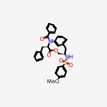 COc1ccc(S(=O)(=O)N[C@@H](COC(=O)[C@@H](Cc2ccccc2)NC(=O)c2ccccc2)Cc2ccccc2)cc1